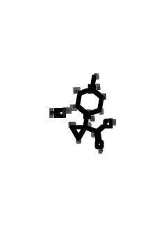 CN1CCN(C2(C(=O)Cl)CC2)CC1.Cl